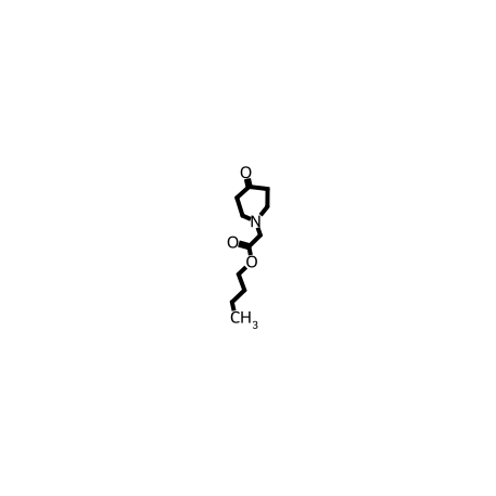 CCCCOC(=O)CN1CCC(=O)CC1